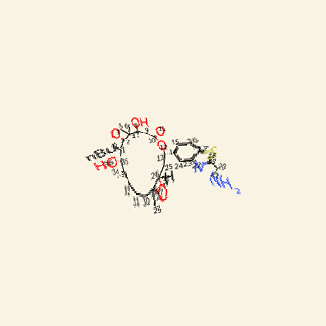 CCCC[C@H]1C(=O)C(C)(C)[C@@H](O)CC(=O)O[C@H](c2ccc3sc(CN)nc3c2)C[C@@H]2O[C@]2(C)CCC[C@H](C)[C@@H]1O